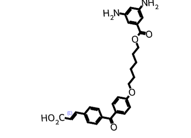 Nc1cc(N)cc(C(=O)OCCCCCCOc2ccc(C(=O)c3ccc(/C=C/C(=O)O)cc3)cc2)c1